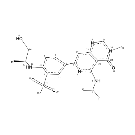 CC(C)Nc1nc(-c2ccc(N[C@@H](C)CO)c(S(C)(=O)=O)c2)cc2ncn(C)c(=O)c12